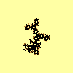 [2H]c1cc2c3c([2H])c(-c4ccc5c(c4)c4cc(-c6ccccc6)ccc4n5-c4ccc(-c5cc(-c6ccccc6)nc(-c6ccccc6)n5)cc4)c([2H])c([2H])c3n(-c3ccccc3)c2c([2H])c1[2H]